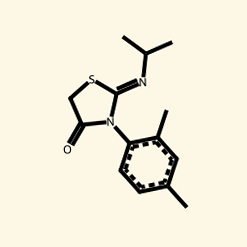 Cc1ccc(N2C(=O)CSC2=NC(C)C)c(C)c1